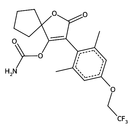 Cc1cc(OCC(F)(F)F)cc(C)c1C1=C(OC(N)=O)C2(CCCC2)OC1=O